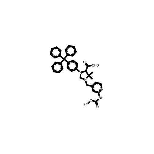 CC(C)OC(=O)Nc1cc(CN2CN(c3ccc(C(c4ccccc4)(c4ccccc4)c4ccccc4)cc3)C(C(=O)C=O)C2(C)C)ccn1